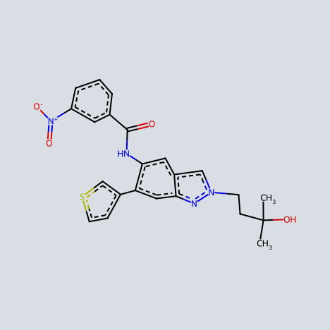 CC(C)(O)CCn1cc2cc(NC(=O)c3cccc([N+](=O)[O-])c3)c(-c3ccsc3)cc2n1